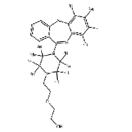 [2H]c1c([2H])c([2H])c2c(c1[2H])N=C(N1C([2H])([2H])C([2H])([2H])N(CCOCCO)C([2H])([2H])C1([2H])[2H])c1ccccc1S2